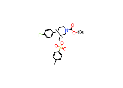 Cc1ccc(S(=O)(=O)OC[C@@H]2CN(C(=O)OC(C)(C)C)CC[C@@H]2c2ccc(F)cc2)cc1